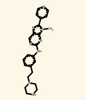 Cn1c(-c2ccncc2)nc2cnc(Nc3cccc(CCN4CCNCC4)c3)nc21